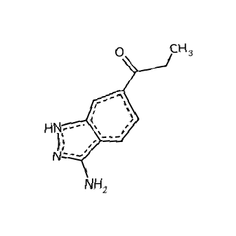 CCC(=O)c1ccc2c(N)n[nH]c2c1